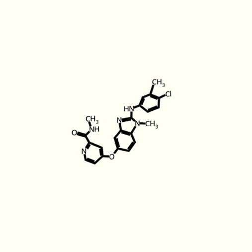 CNC(=O)c1cc(Oc2ccc3c(c2)nc(Nc2ccc(Cl)c(C)c2)n3C)ccn1